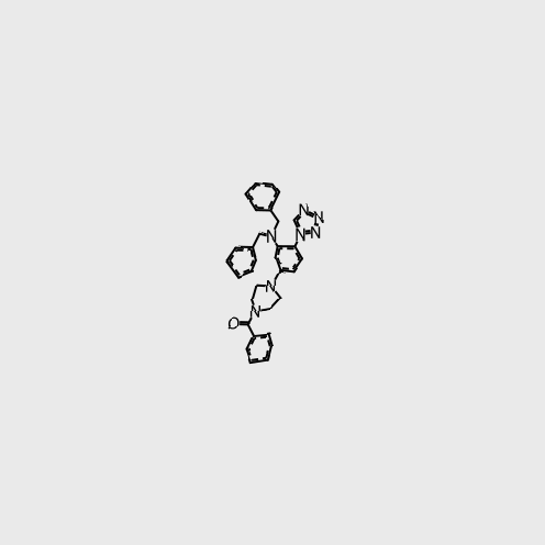 O=C(c1ccccc1)N1CCN(c2ccc(-n3cnnn3)c(N(Cc3ccccc3)Cc3ccccc3)c2)CC1